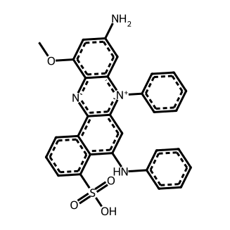 COc1cc(N)cc2c1nc1c3cccc(S(=O)(=O)O)c3c(Nc3ccccc3)cc1[n+]2-c1ccccc1